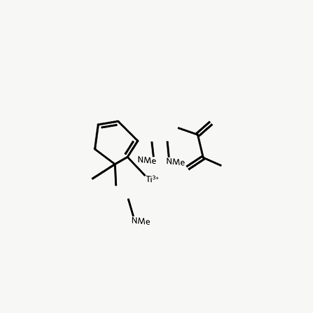 C=C(C)C(=C)C.CC1(C)CC=CC=[C]1[Ti+3].C[N-]C.C[N-]C.C[N-]C